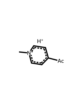 CC(=O)c1cc[n+](C)cc1.[H+]